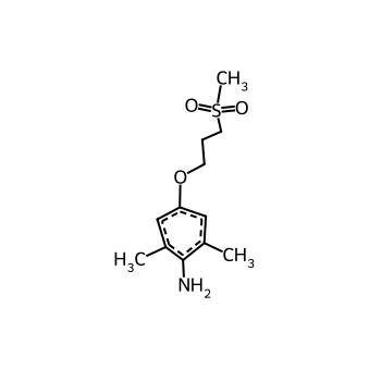 Cc1cc(OCCCS(C)(=O)=O)cc(C)c1N